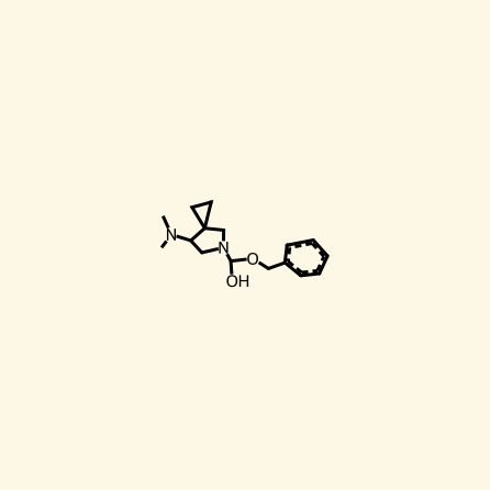 CN(C)C1CN(C(O)OCc2ccccc2)CC12CC2